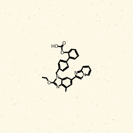 CCOc1nc2c(C)cc(-c3cn4ccccc4n3)cc2n1Cc1ccc(-c2ccccc2OC(=O)O)cc1